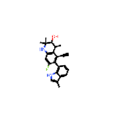 C#Cc1c(-c2cccc3c(C)c[nH]c23)c(F)cc2c1C(C)C(O)C(C)(C)N2